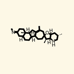 CN=C1CC[C@@]2(C)[C@H](CC[C@H]3[C@@H]4CCC5(CC(C)=C4C[C@@H]32)O[C@@H]2C[C@H](C)CN[C@H]2[C@H]5C)C1